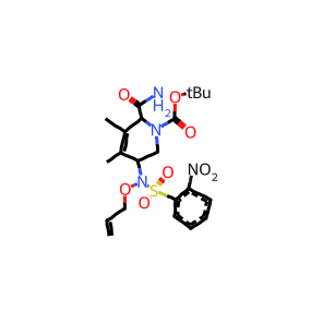 C=CCON(C1CN(C(=O)OC(C)(C)C)C(C(N)=O)C(C)=C1C)S(=O)(=O)c1ccccc1[N+](=O)[O-]